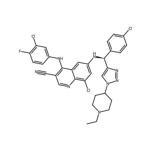 CCN1CCC(n2cc([C@@H](Nc3cc(Cl)c4ncc(C#N)c(Nc5ccc(F)c(Cl)c5)c4c3)c3ccc(Cl)cc3)nn2)CC1